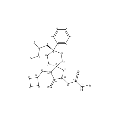 CCC(C)C[C@]1(c2ccccc2)CC[C@]2(CC1)CN(CC(=O)NC)C(=O)N2CC1CCC1